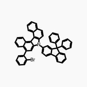 Brc1ccccc1-c1cc2c(c3ccccc13)c1c3ccccc3ccc1n2-c1ccc2c(c1)C(c1ccccc1)(c1ccccc1)c1ccccc1-2